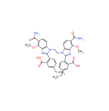 CCc1ccc(-c2nc3c(OC)c(C(N)=O)ccc3n2CCn2c(-c3ccc(CC)cc3C(=O)O)nc3c(OC)c(C(N)=O)ccc32)c(C(=O)O)c1